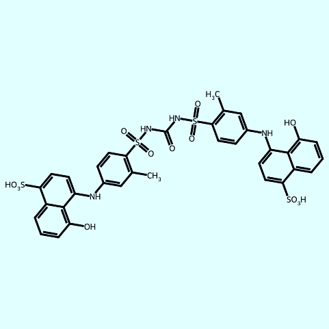 Cc1cc(Nc2ccc(S(=O)(=O)O)c3cccc(O)c23)ccc1S(=O)(=O)NC(=O)NS(=O)(=O)c1ccc(Nc2ccc(S(=O)(=O)O)c3cccc(O)c23)cc1C